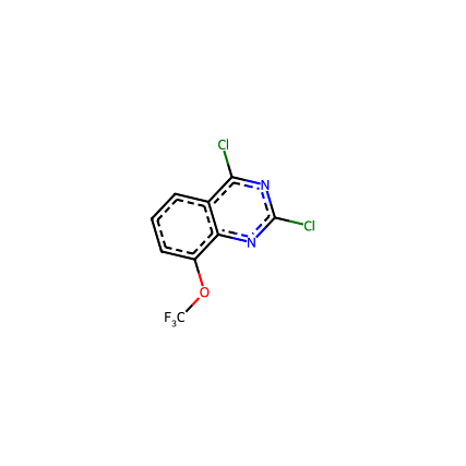 FC(F)(F)Oc1cccc2c(Cl)nc(Cl)nc12